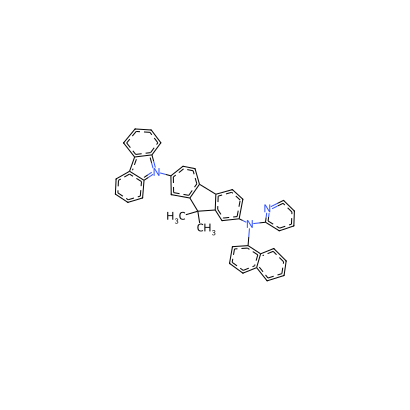 CC1(C)c2cc(N(c3ccccn3)c3cccc4ccccc34)ccc2-c2ccc(-n3c4ccccc4c4ccccc43)cc21